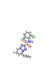 COc1cc(C)cc2nc(S(=O)(=O)Nc3c(Cl)cccc3Cl)nn12